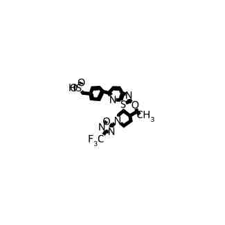 CC(Oc1nc2ccc(-c3ccc(C[SH](=O)=O)cc3)nc2s1)C1CCN(c2nc(C(F)(F)F)no2)CC1